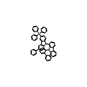 c1ccc(-c2ccc3c(c2)c2cc([Si](c4ccccc4)(c4ccccc4)c4ccccc4)ccc2n3-c2cccc3c4ccccc4n(-c4ccccc4-c4ccccc4)c23)cc1